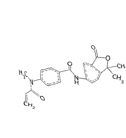 C=CC(=O)N(C)c1ccc(C(=O)Nc2ccc3c(c2)C(=O)OC3(C)C)cc1